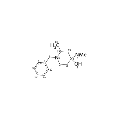 CNC1(O)CCN(Cc2ccccc2)C(C)C1